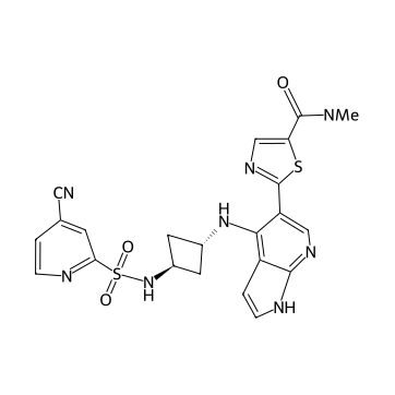 CNC(=O)c1cnc(-c2cnc3[nH]ccc3c2N[C@H]2C[C@H](NS(=O)(=O)c3cc(C#N)ccn3)C2)s1